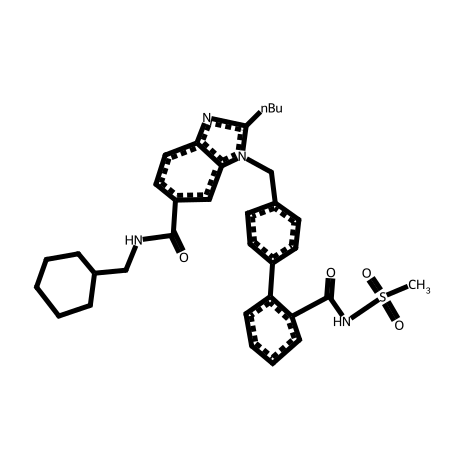 CCCCc1nc2ccc(C(=O)NCC3CCCCC3)cc2n1Cc1ccc(-c2ccccc2C(=O)NS(C)(=O)=O)cc1